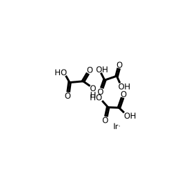 O=C(O)C(=O)O.O=C(O)C(=O)O.O=C(O)C(=O)O.[Ir]